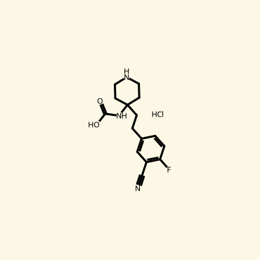 Cl.N#Cc1cc(CCC2(NC(=O)O)CCNCC2)ccc1F